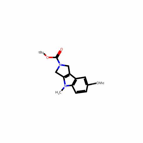 COc1ccc2c(c1)c1c(n2C)CN(C(=O)OC(C)(C)C)C1